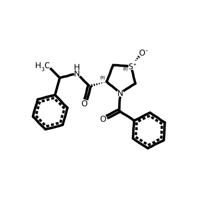 CC(NC(=O)[C@@H]1C[S@+]([O-])CN1C(=O)c1ccccc1)c1ccccc1